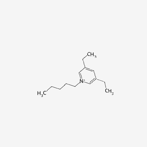 CCCCC[n+]1cc(CC)cc(CC)c1